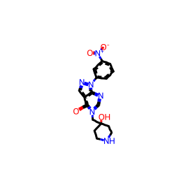 O=c1c2cnn(-c3cccc([N+](=O)[O-])c3)c2ncn1CC1(O)CCNCC1